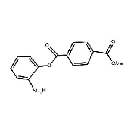 COC(=O)c1ccc(C(=O)Oc2ccccc2S(=O)(=O)O)cc1